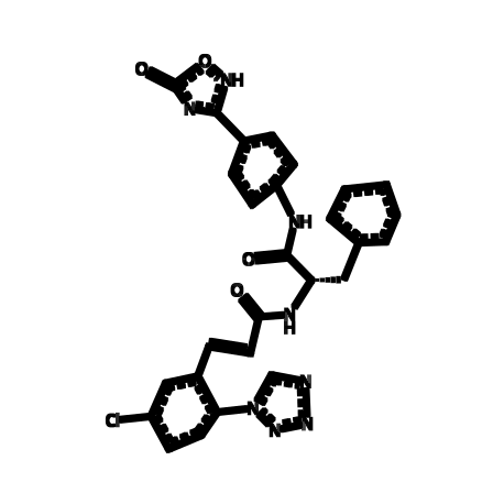 O=C(C=Cc1cc(Cl)ccc1-n1cnnn1)N[C@@H](Cc1ccccc1)C(=O)Nc1ccc(-c2nc(=O)o[nH]2)cc1